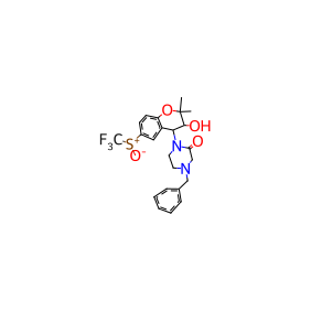 CC1(C)Oc2ccc([S+]([O-])C(F)(F)F)cc2C(N2CCN(Cc3ccccc3)CC2=O)C1O